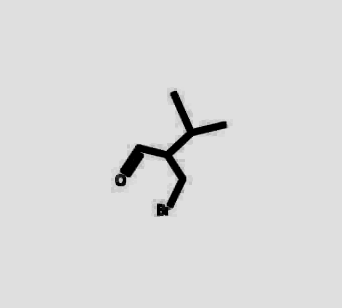 CC(C)C(C=O)CBr